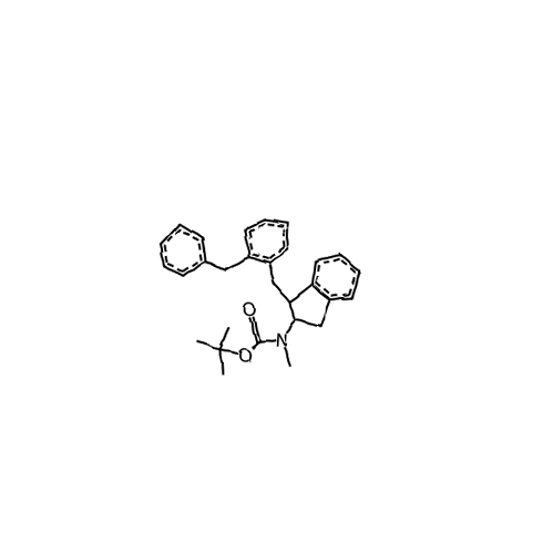 CN(C(=O)OC(C)(C)C)C1Cc2ccccc2C1Cc1ccccc1Cc1ccccc1